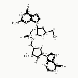 Nc1nc2c(ncn2[C@]2(O[PH](=O)OC[C@H]3O[C@@H](n4cnc5c(=O)[nH]cnc54)[C@@H](F)[C@@H]3O)CO[C@H](CO)C2)c(=O)[nH]1